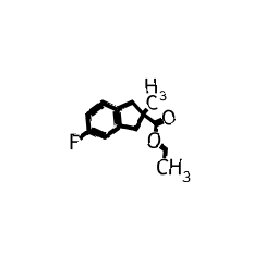 CCOC(=O)C1(C)Cc2ccc(F)cc2C1